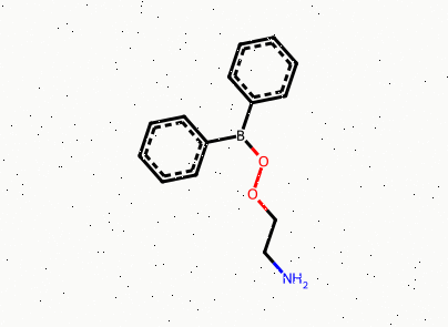 NCCOOB(c1ccccc1)c1ccccc1